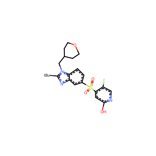 CC(C)(C)c1nc2cc(S(=O)(=O)c3cc(O)ncc3F)ccc2n1CC1CCOCC1